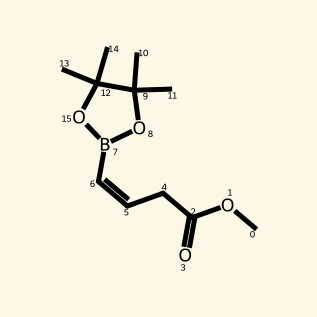 COC(=O)C/C=C\B1OC(C)(C)C(C)(C)O1